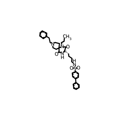 CCCN1C(=O)[C@H](CCCCNS(=O)(=O)c2ccc(-c3ccccc3)cc2)NC(=O)C12CCN(CCc1ccccc1)CC2